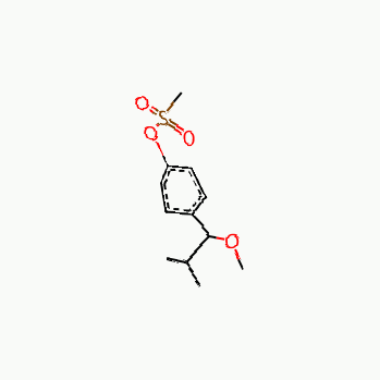 COC(c1ccc(OS(C)(=O)=O)cc1)C(C)C